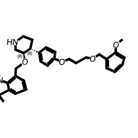 COc1ccccc1COCCCOc1ccc([C@H]2CCNC[C@@H]2OCc2cccc3c2N(C)CC3(C)C)cc1